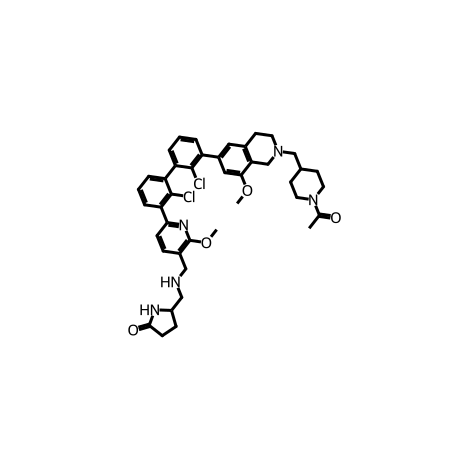 COc1cc(-c2cccc(-c3cccc(-c4ccc(CNCC5CCC(=O)N5)c(OC)n4)c3Cl)c2Cl)cc2c1CN(CC1CCN(C(C)=O)CC1)CC2